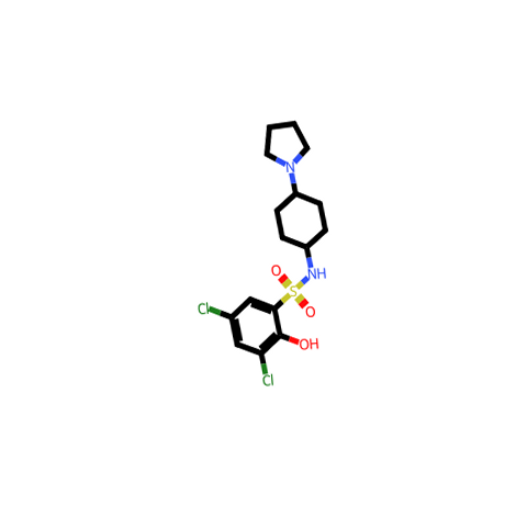 O=S(=O)(NC1CCC(N2CCCC2)CC1)c1cc(Cl)cc(Cl)c1O